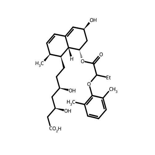 CCC(Oc1c(C)cccc1C)C(=O)O[C@H]1C[C@H](O)C=C2C=C[C@H](C)[C@H](CC[C@@H](O)C[C@@H](O)CC(=O)O)[C@H]21